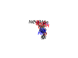 COP(=O)(OCCC#N)OC[C@H]1O[C@@H](n2cnc3c(NC(=O)c4ccccc4)ncnc32)[C@H](F)[C@@H]1O[PH](=O)O